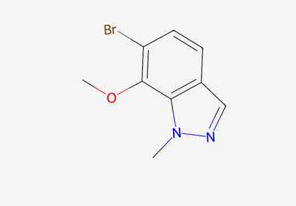 COc1c(Br)ccc2cnn(C)c12